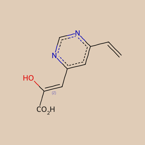 C=Cc1cc(/C=C(\O)C(=O)O)ncn1